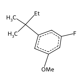 CCC(C)(C)c1cc(F)cc(OC)c1